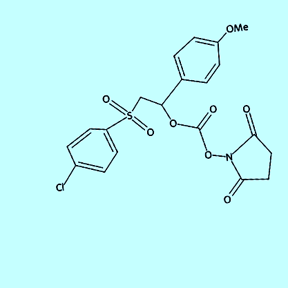 COc1ccc(C(CS(=O)(=O)c2ccc(Cl)cc2)OC(=O)ON2C(=O)CCC2=O)cc1